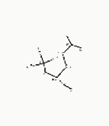 CC[C@H](CC(F)(F)F)SSC(C)C